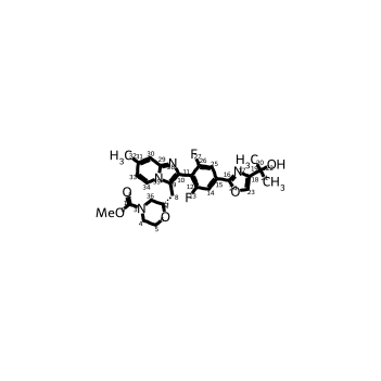 COC(=O)N1CCO[C@@H](Cc2c(-c3c(F)cc(-c4nc(C(C)(C)O)co4)cc3F)nc3cc(C)ccn23)C1